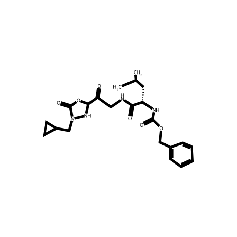 CC(C)C[C@H](NC(=O)OCc1ccccc1)C(=O)NCC(=O)C1NN(CC2CC2)C(=O)O1